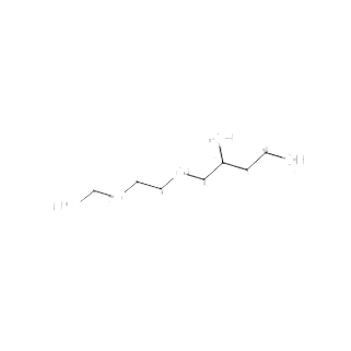 CCOCCOCC(O)CCO